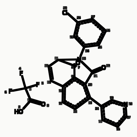 O=C(O)C(F)(F)F.O=C1c2c3ccc(-c4cccnc4)c2C(=O)N(c2cccc(Cl)c2)C1C=C3